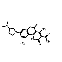 CC1Cc2cc(N3CCC(N(C)C)C3)ccc2-c2[nH]c(=O)c(C(=O)O)c(O)c21.Cl